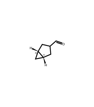 O=CC1C[C@@H]2C[C@@H]2C1